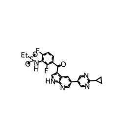 CCS(=O)(=O)Nc1c(F)ccc(C(=O)c2c[nH]c3ncc(-c4cnc(C5CC5)nc4)cc23)c1F